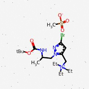 CC[N+](CC)(CC)Cc1cc(Br)nn1CC(C)NC(=O)OC(C)(C)C.CS(=O)(=O)[O-]